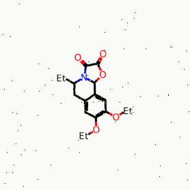 CCOc1cc2c(cc1OCC)C1OC(=O)C(=O)N1C(CC)C2